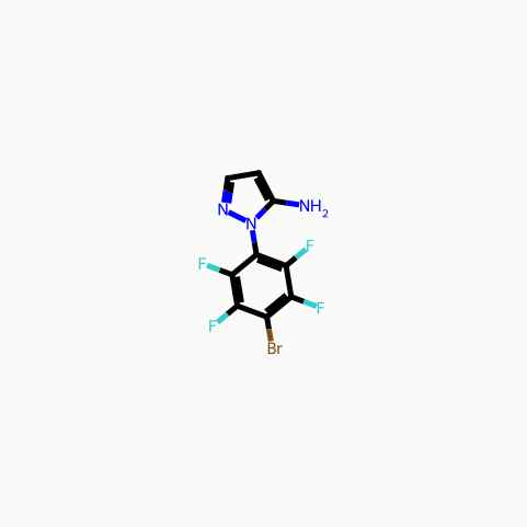 Nc1ccnn1-c1c(F)c(F)c(Br)c(F)c1F